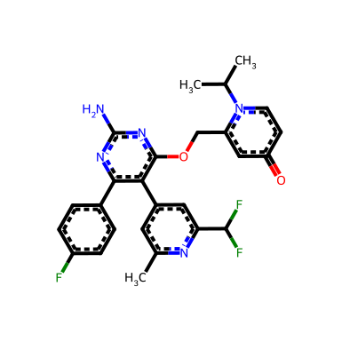 Cc1cc(-c2c(OCc3cc(=O)ccn3C(C)C)nc(N)nc2-c2ccc(F)cc2)cc(C(F)F)n1